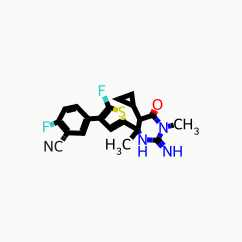 CN1C(=N)NC(C)(c2cc(-c3ccc(F)c(C#N)c3)c(F)s2)C(C2CC2)C1=O